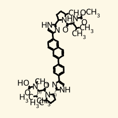 COC(=O)N[C@@H](C(=O)N1C(C)CCC1c1nc(-c2ccc3cc(-c4ccc(-c5c[nH]c([C@@H]6CC[C@@H](C)N6C(=O)[C@H](C(C)C)N(C)C(=O)O)n5)cc4)ccc3c2)c[nH]1)C(C)C